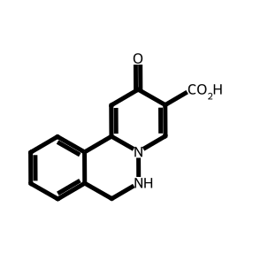 O=C(O)c1cn2c(cc1=O)-c1ccccc1CN2